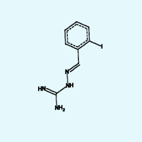 N=C(N)N/N=C/c1ccccc1I